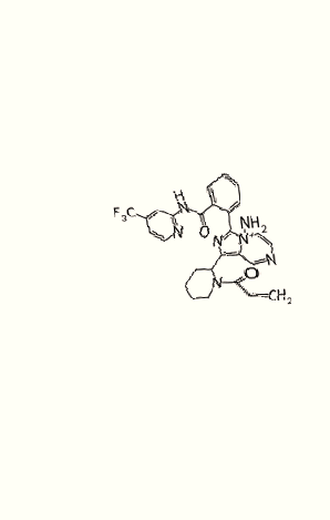 C=CC(=O)N1CCCCC1C1=C2C=NC=C[N+]2(N)C(c2ccccc2C(=O)Nc2cc(C(F)(F)F)ccn2)=N1